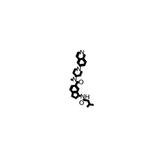 CC(C)CC(=O)NC1CCc2ccc(C(=O)N(C)C3CCN(c4ccc5cnccc5c4)CC3)cc21